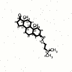 CN(C)CCON=C1C=C2CCC3C(CC[C@]4(C)C(=O)CCC34)[C@@]2(C)CC1